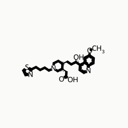 COc1ccc2nccc([C@@H](O)CC[C@@H]3CCN(CCCCc4nccs4)C[C@@H]3CC(=O)O)c2c1